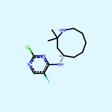 CC1(C)C[C@@H](Nc2nc(Cl)ncc2F)CCCCCN1